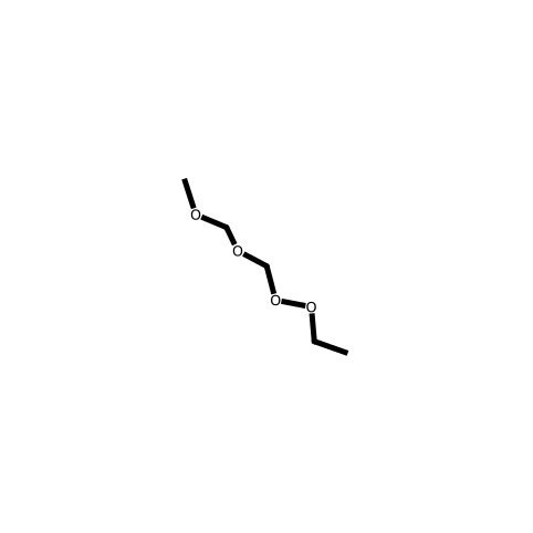 CCOOCOCOC